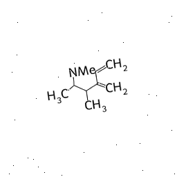 C=CC(=C)C(C)C(C)NC